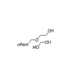 CCCCCCOCCO.OCO